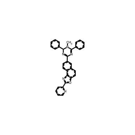 CN1C(c2ccccc2)=NC(c2ccc3c(ccc4oc(-c5ccccn5)nc43)c2)=NC1c1ccccc1